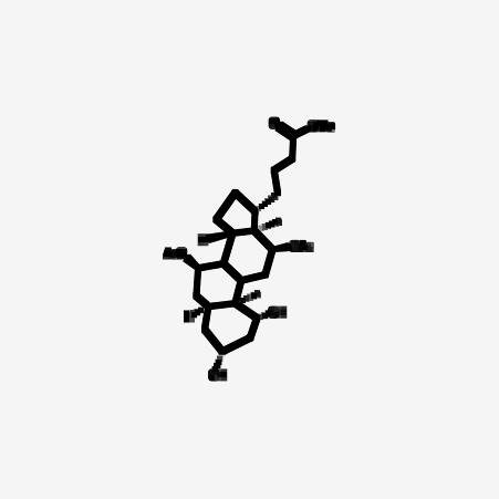 COC(=O)CCC[C@H]1CC[C@H]2C3C(C[C@H](OC(C)=O)[C@]12C)[C@]1(C)[C@@H](C[C@@H](O)C[C@H]1O)C[C@H]3OC(C)=O